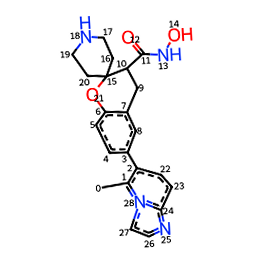 Cc1c(-c2ccc3c(c2)CC(C(=O)NO)C2(CCNCC2)O3)ccc2nccn12